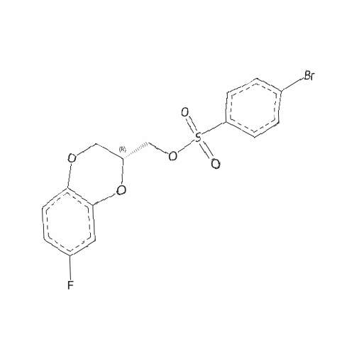 O=S(=O)(OC[C@H]1COc2ccc(F)cc2O1)c1ccc(Br)cc1